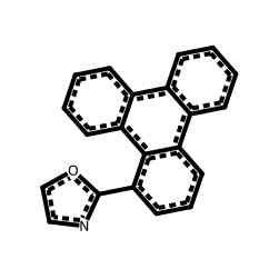 c1ccc2c(c1)c1ccccc1c1c(-c3ncco3)cccc21